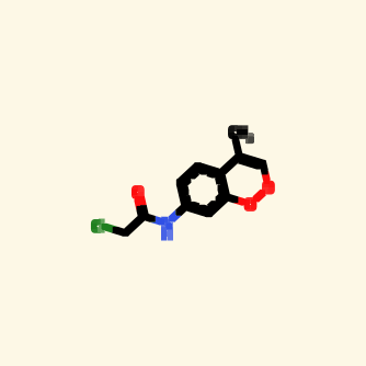 CC1=COOc2cc(NC(=O)CCl)ccc21